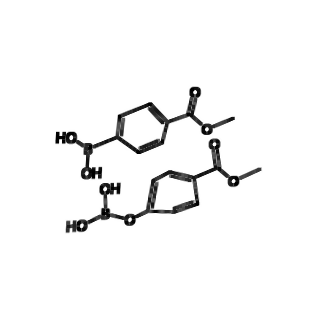 COC(=O)c1ccc(B(O)O)cc1.COC(=O)c1ccc(OB(O)O)cc1